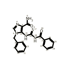 NC(=O)c1ncn(Cc2ccccc2)c1NC(=S)NC(=O)c1ccccc1